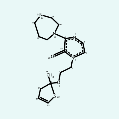 CC1(OCCn2ccnc(N3CCCNCC3)c2=O)CC=CS1